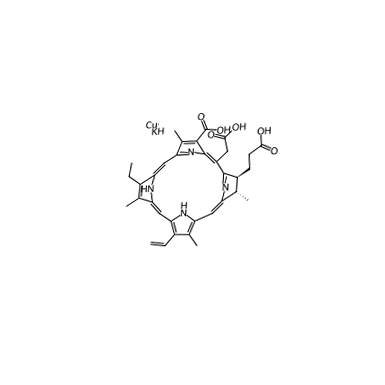 C=Cc1c(C)c2cc3nc(c(CC(=O)O)c4nc(cc5[nH]c(cc1[nH]2)c(C)c5CC)C(C)=C4C(=O)O)[C@@H](CCC(=O)O)[C@@H]3C.[Cu].[KH]